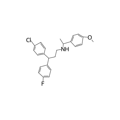 COc1ccc(C(C)NCCC(c2ccc(F)cc2)c2ccc(Cl)cc2)cc1